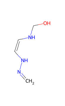 C=NN/C=C\NCO